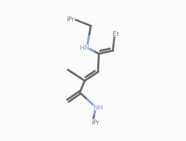 C=C(NC(C)C)/C(C)=C/C(=C/CC)NCC(C)C